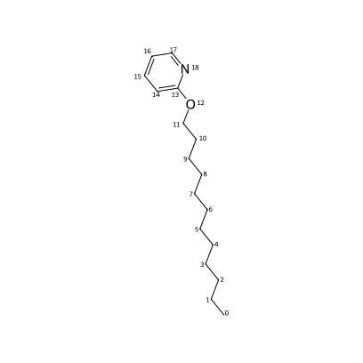 CCCCCCCCCCCCOc1ccccn1